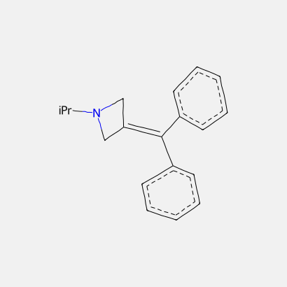 CC(C)N1CC(=C(c2ccccc2)c2ccccc2)C1